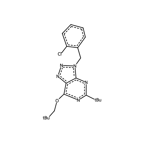 CC(C)(C)COc1nc(C(C)(C)C)nc2c1nnn2Cc1ccccc1Cl